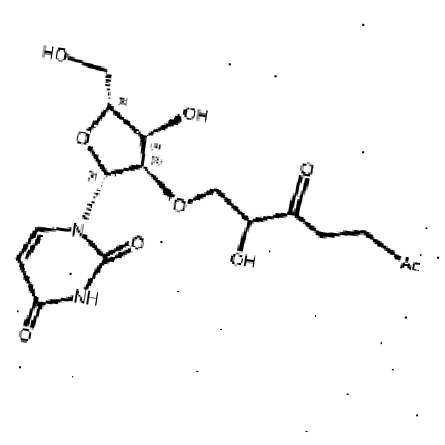 CC(=O)CCC(=O)C(O)CO[C@@H]1[C@H](O)[C@@H](CO)O[C@H]1n1ccc(=O)[nH]c1=O